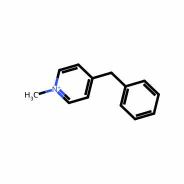 C[n+]1ccc(Cc2ccccc2)cc1